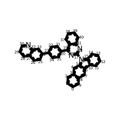 c1ccc2cc3c(cc2c1)c1ccccc1n3-c1nc(-c2ccc(-c3ccc4cccnc4c3)cc2)c2ccccc2n1